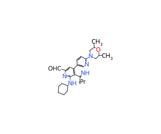 CC1CN(c2ccc(-c3cc(C=O)nc(NC4CCCCC4)c3C(=N)C(C)C)cn2)CC(C)O1